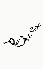 CC(C)(C)OC(=O)N1CCC(OC2CCN(c3ccc(C#N)cc3)CC2)CC1